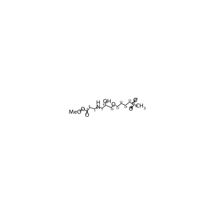 COOC(=O)CCNCC(O)COCCCCS(C)(=O)=O